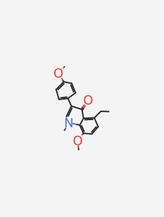 CCc1ccc(OC)c2c1c(=O)c(-c1ccc(OC)cc1)cn2C